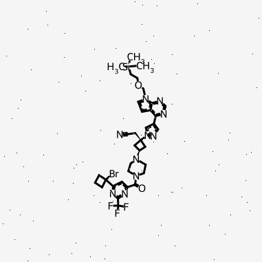 C[Si](C)(C)CCOCn1ccc2c(-c3cnn([C@]4(CC#N)C[C@@H](N5CCN(C(=O)c6cc(C7(Br)CCC7)nc(C(F)(F)F)n6)CC5)C4)c3)ncnc21